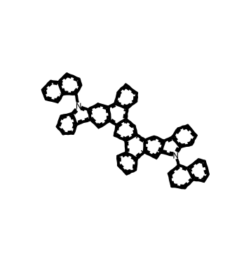 c1ccc2c(-n3c4ccccc4c4cc5c6cc7c8ccccc8c8cc9c(cc8c7cc6c6ccccc6c5cc43)c3ccccc3n9-c3cccc4ccccc34)cccc2c1